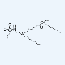 CCCCCCCCC(CC)OC(=O)CCCCCCCN(CCCCCCCC)CCCNc1c(CCC)c(=O)c1=O